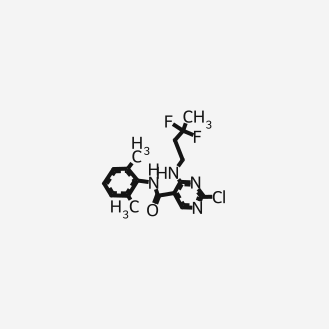 Cc1cccc(C)c1NC(=O)c1cnc(Cl)nc1NCCC(C)(F)F